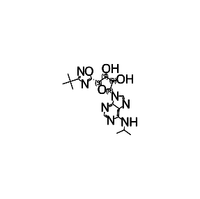 CC(C)Nc1ncnc2c1ncn2[C@@H]1O[C@H](c2nc(C(C)(C)C)no2)[C@@H](O)[C@H]1O